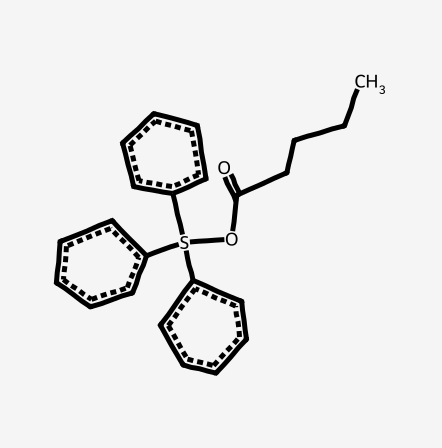 CCCCC(=O)OS(c1ccccc1)(c1ccccc1)c1ccccc1